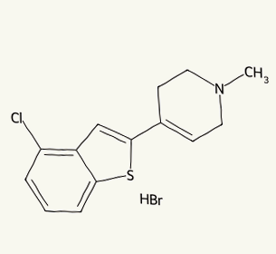 Br.CN1CC=C(c2cc3c(Cl)cccc3s2)CC1